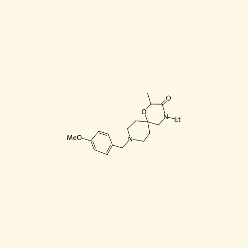 CCN1CC2(CCN(Cc3ccc(OC)cc3)CC2)OC(C)C1=O